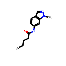 CCCCC(=O)Nc1ccc2cnn(C)c2c1